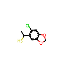 CC(S)c1cc2c(cc1Cl)OCO2